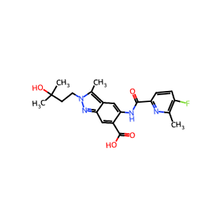 Cc1nc(C(=O)Nc2cc3c(C)n(CCC(C)(C)O)nc3cc2C(=O)O)ccc1F